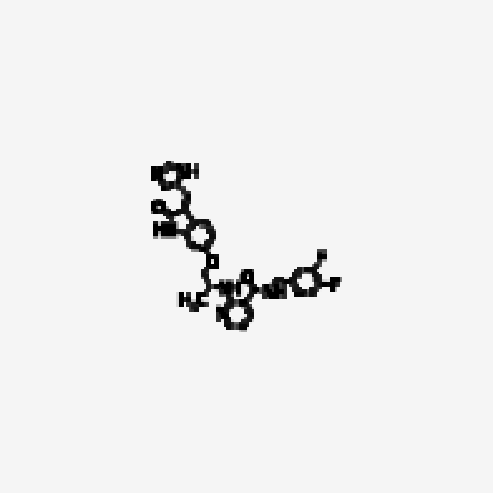 CC(COc1ccc2c(c1)NC(=O)C2=Cc1cnc[nH]1)Nc1ncccc1C(=O)NCc1ccc(F)c(F)c1